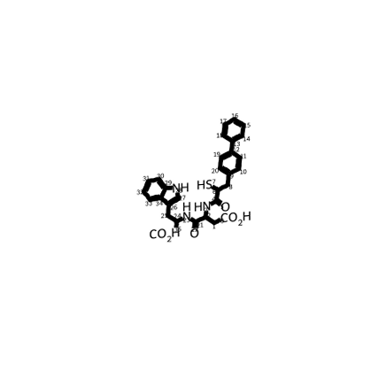 O=C(O)CC(NC(=O)C(S)Cc1ccc(-c2ccccc2)cc1)C(=O)NC(Cc1c[nH]c2ccccc12)C(=O)O